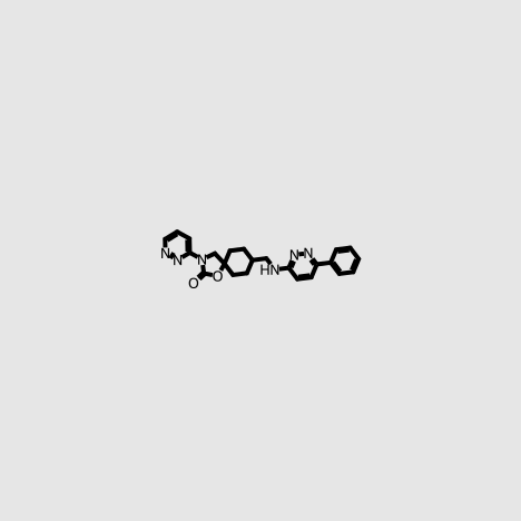 O=C1OC2(CCC(CNc3ccc(-c4ccccc4)nn3)CC2)CN1c1cccnn1